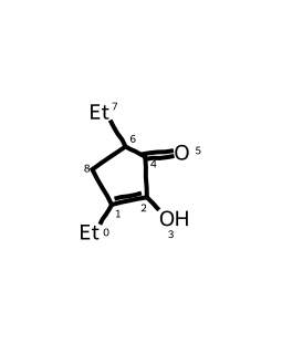 CCC1=C(O)C(=O)C(CC)C1